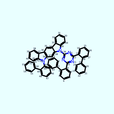 c1ccc(-c2ccccc2-c2nc(-c3ccccc3-c3ccccc3)nc(-n3c4ccccc4c4cc5c6ccccc6n(-c6ccccc6-c6ccccc6)c5cc43)n2)cc1